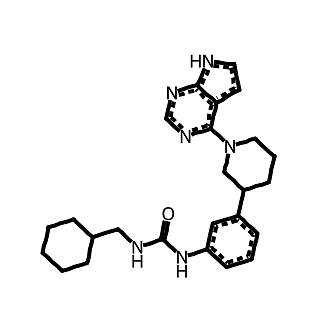 O=C(NCC1CCCCC1)Nc1cccc(C2CCCN(c3ncnc4[nH]ccc34)C2)c1